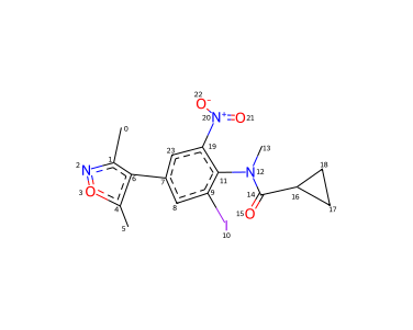 Cc1noc(C)c1-c1cc(I)c(N(C)C(=O)C2CC2)c([N+](=O)[O-])c1